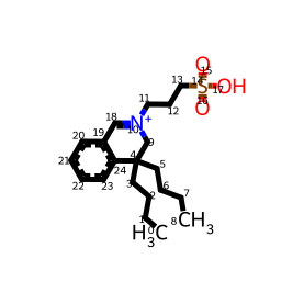 CCCCC1(CCCC)C[N+](CCCS(=O)(=O)O)=Cc2ccccc21